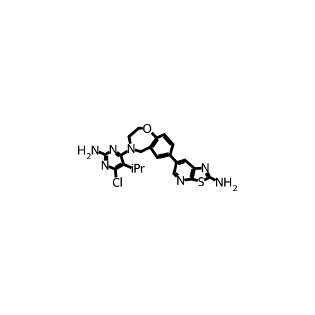 CC(C)c1c(Cl)nc(N)nc1N1CCOc2ccc(-c3cnc4sc(N)nc4c3)cc2C1